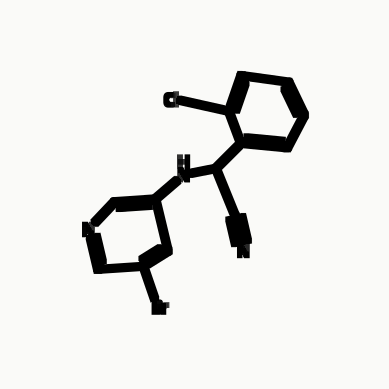 N#CC(Nc1cncc(Br)c1)c1ccccc1Cl